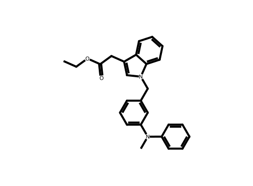 CCOC(=O)Cc1cn(Cc2cccc(N(C)c3ccccc3)c2)c2ccccc12